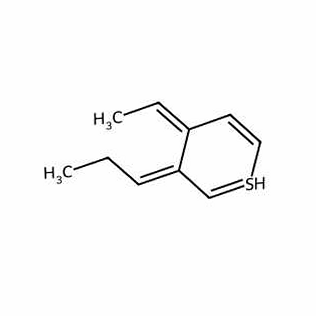 C/C=C1/C=C[SH]=C/C1=C/CC